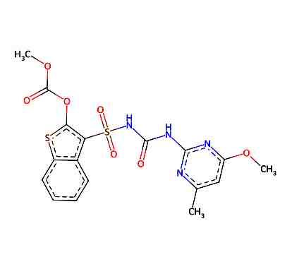 COC(=O)Oc1sc2ccccc2c1S(=O)(=O)NC(=O)Nc1nc(C)cc(OC)n1